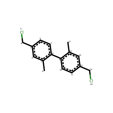 Cc1cc(CCl)ccc1-c1ccc(CCl)cc1C